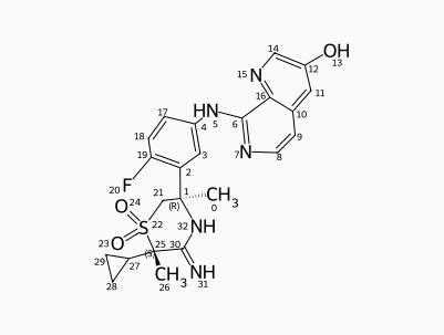 C[C@@]1(c2cc(Nc3nccc4cc(O)cnc34)ccc2F)CS(=O)(=O)[C@@](C)(C2CC2)C(=N)N1